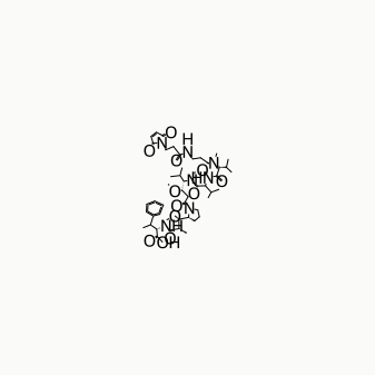 COC(CC(=O)N1CCC[C@H]1[C@H](OC)[C@@H](C)C(=O)N[C@H](C(=O)O)C(C)c1ccccc1)[C@H](C(C)C)N(C)C(=O)[C@@H](NC(=O)[C@H](C(C)C)N(C)C(=O)CCNC(=O)CCN1C(=O)C=CC1=O)C(C)C